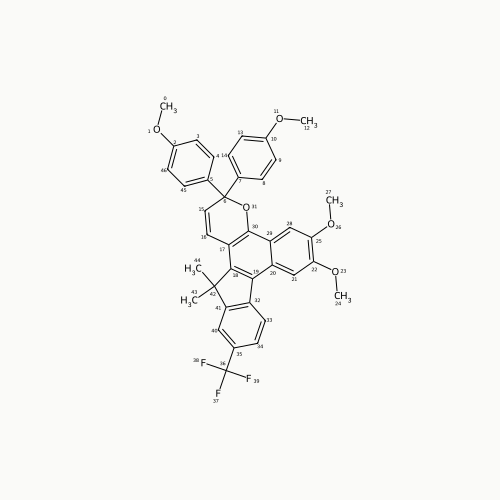 COc1ccc(C2(c3ccc(OC)cc3)C=Cc3c4c(c5cc(OC)c(OC)cc5c3O2)-c2ccc(C(F)(F)F)cc2C4(C)C)cc1